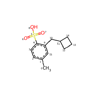 Cc1ccc(S(=O)(=O)O)c(CC2CCC2)c1